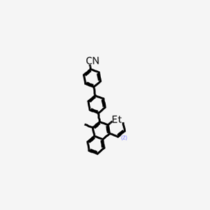 C/C=C\c1c(CC)c(-c2ccc(-c3ccc(C#N)cc3)cc2)c(C)c2ccccc12